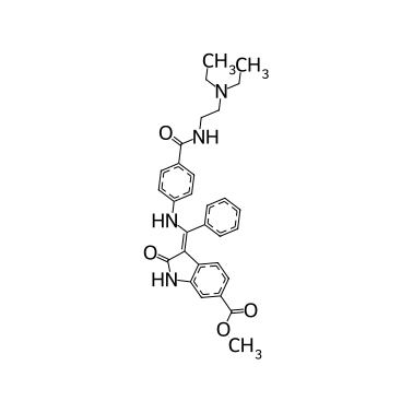 CCN(CC)CCNC(=O)c1ccc(N/C(=C2\C(=O)Nc3cc(C(=O)OC)ccc32)c2ccccc2)cc1